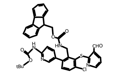 CC(C)(C)OC(=O)Nc1ccc(-c2ccc(Cl)c(Sc3ncccc3C=O)c2CNC(=O)OCC2c3ccccc3-c3ccccc32)cn1